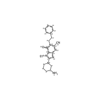 CCn1c(N2CCCC(N)C2)nc2nc(C#N)n(CCc3ccccc3)c(=O)c21